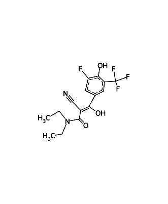 CCN(CC)C(=O)/C(C#N)=C(\O)c1cc(F)c(O)c(C(F)(F)F)c1